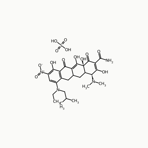 CCN(CC(C)C)c1cc([N+](=O)[O-])c(O)c2c1CC1CC3[C@H](N(C)C)C(O)=C(C(N)=O)C(=O)[C@@]3(O)C(O)=C1C2=O.O=S(=O)(O)O